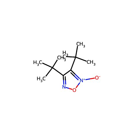 CC(C)(C)c1no[n+]([O-])c1C(C)(C)C